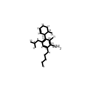 CCCCCc1cc(CC(C)C)c(C2C=CCCC2C)c(C)c1N